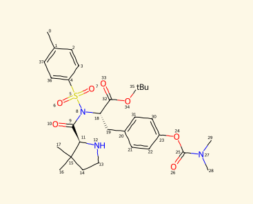 Cc1ccc(S(=O)(=O)N(C(=O)[C@H]2NCCC2(C)C)[C@@H](Cc2ccc(OC(=O)N(C)C)cc2)C(=O)OC(C)(C)C)cc1